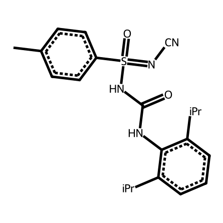 Cc1ccc(S(=O)(=NC#N)NC(=O)Nc2c(C(C)C)cccc2C(C)C)cc1